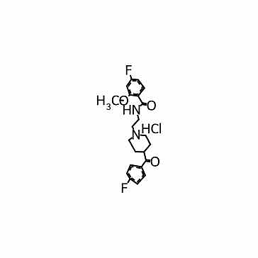 COc1cc(F)ccc1C(=O)NCCN1CCC(C(=O)c2ccc(F)cc2)CC1.Cl